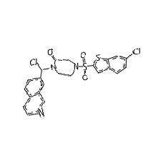 O=C1CN(S(=O)(=O)c2cc3ccc(Cl)cc3s2)CCN1C(Cl)c1ccc2ccncc2c1